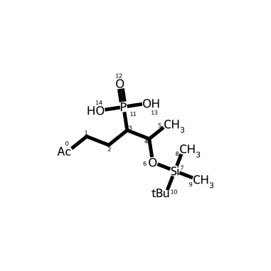 CC(=O)CCC(C(C)O[Si](C)(C)C(C)(C)C)P(=O)(O)O